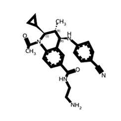 CC(=O)N1c2ccc(C(=O)NCCN)cc2[C@H](Nc2ccc(C#N)cc2)[C@@H](C)[C@@H]1C1CC1